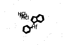 C1=C[CH]([Hf][c]2ccccc2)c2ccccc21.Cl.Cl.Cl